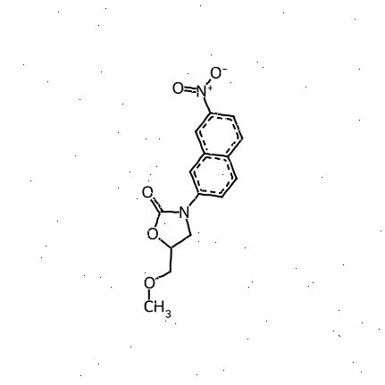 COCC1CN(c2ccc3ccc([N+](=O)[O-])cc3c2)C(=O)O1